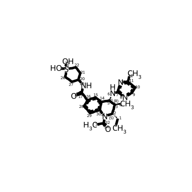 CC[C@H]1[C@H](C)[C@@H](Nc2nccc(C)n2)c2cc(C(=O)NC3CCS(O)(O)CC3)ccc2N1C(C)=O